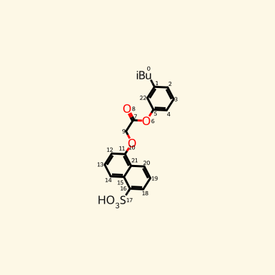 CCC(C)c1cccc(OC(=O)COc2cccc3c(S(=O)(=O)O)cccc23)c1